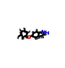 Cc1cccc(Oc2ccc3[nH]ccc3c2)c1